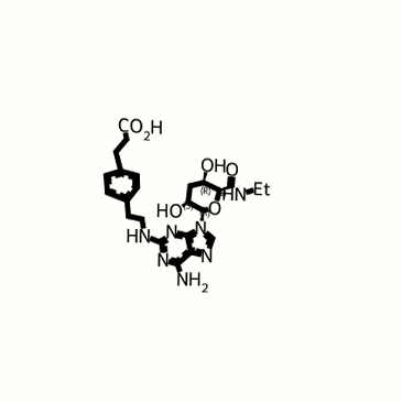 CCNC(=O)[C@H]1O[C@@H](n2cnc3c(N)nc(NCCc4ccc(CCC(=O)O)cc4)nc32)[C@@H](O)C[C@H]1O